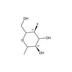 CC1OC(CO)[C@@H](F)C(O)[C@H]1O